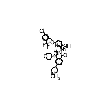 CN1CCC(c2ccc(C(=O)Nc3n[nH]c4ccc(OCc5cc(Cl)ccc5C(F)(F)F)nc34)c(NC3CCOCC3)c2)CC1